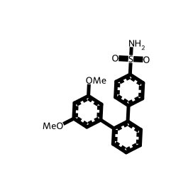 COc1cc(OC)cc(-c2ccccc2-c2ccc(S(N)(=O)=O)cc2)c1